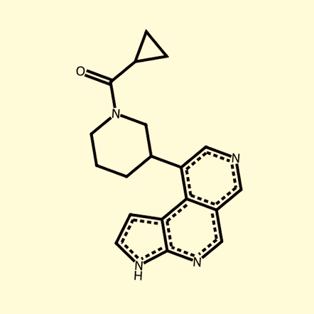 O=C(C1CC1)N1CCCC(c2cncc3cnc4[nH]ccc4c23)C1